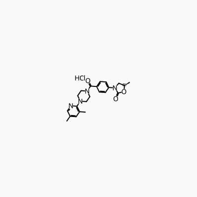 Cc1cnc(N2CCN(C(=O)c3ccc(N4C[C@@H](C)OC4=O)cc3)CC2)c(C)c1.Cl